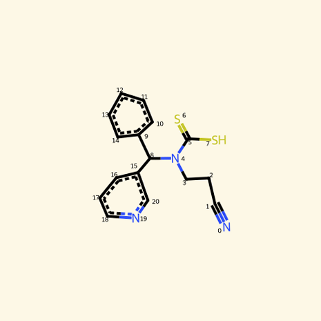 N#CCCN(C(=S)S)C(c1ccccc1)c1cccnc1